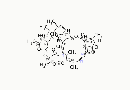 CO[C@H]1C[C@H](O[C@H]2[C@H](C)O[C@@H](O[C@@H]3/C(C)=C/C[C@@H]4C[C@@H](C[C@]5(C=C[C@H](C)C(C(C)C)O5)O4)OC(=O)[C@@H]4C=C(C)[C@H]5O[C@@]56OC/C(=C\C=C\[C@@H]3C)[C@@]46O)C[C@@H]2OC)O[C@@H](C)[C@@H]1O